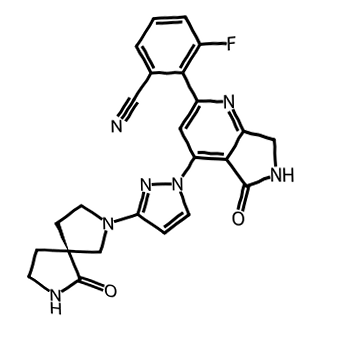 N#Cc1cccc(F)c1-c1cc(-n2ccc(N3CC[C@@]4(CCNC4=O)C3)n2)c2c(n1)CNC2=O